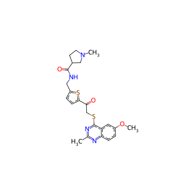 COc1ccc2nc(C)nc(SCC(=O)c3ccc(CNC(=O)C4CCN(C)C4)s3)c2c1